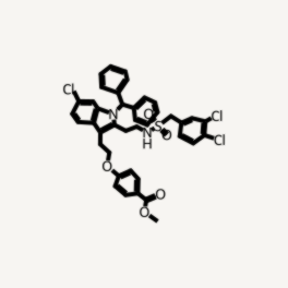 COC(=O)c1ccc(OCCc2c(CCNS(=O)(=O)Cc3ccc(Cl)c(Cl)c3)n(C(c3ccccc3)c3ccccc3)c3cc(Cl)ccc23)cc1